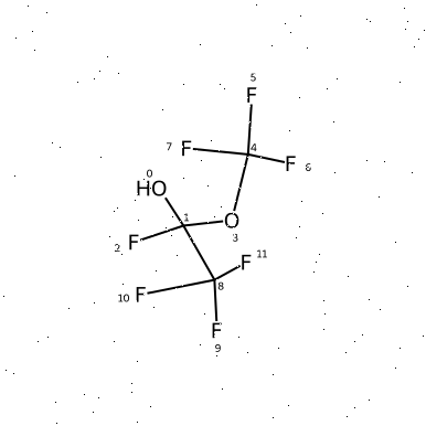 OC(F)(OC(F)(F)F)C(F)(F)F